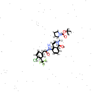 CC(C)(C)OC(=O)N1CCC[C@H]1Cn1ccc2c(NC(=O)Cc3ccc(Cl)c(C(F)(F)F)c3)cccc2c1=O